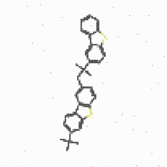 CC(C)(C)c1ccc2c(c1)sc1ccc(CC(C)(C)c3ccc4sc5ccccc5c4c3)cc12